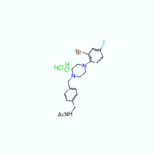 CC(=O)NCc1ccc(CN2CCN(c3ccc(F)cc3Br)CC2)cc1.Cl.Cl